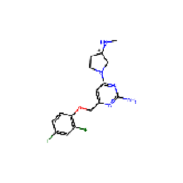 CN[C@@H]1CCN(c2cc(COc3ccc(F)cc3F)nc(N)n2)C1